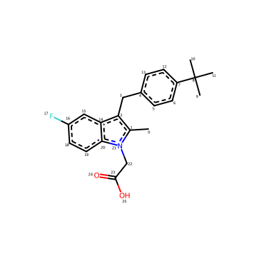 Cc1c(Cc2ccc(C(C)(C)C)cc2)c2cc(F)ccc2n1CC(=O)O